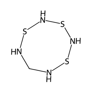 C1NSNSNSN1